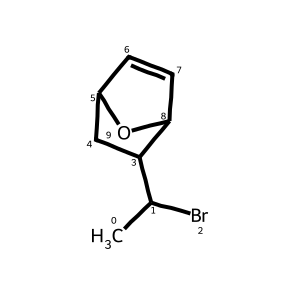 CC(Br)C1CC2C=CC1O2